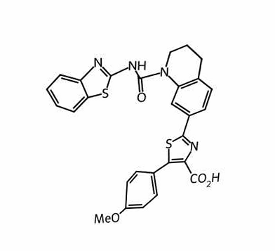 COc1ccc(-c2sc(-c3ccc4c(c3)N(C(=O)Nc3nc5ccccc5s3)CCC4)nc2C(=O)O)cc1